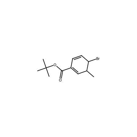 CC1C=C(C(=O)OC(C)(C)C)C=CC1Br